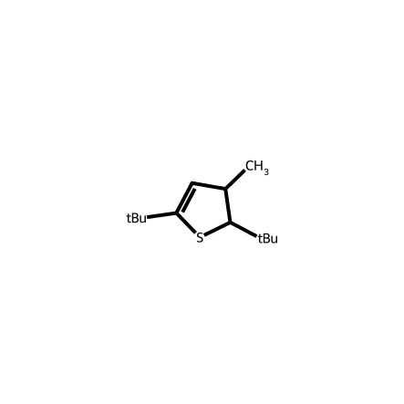 CC1C=C(C(C)(C)C)SC1C(C)(C)C